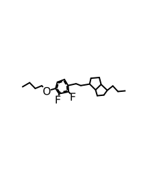 CCCCOc1ccc(CCC2CCC3C(CCC)CCC23)c(F)c1F